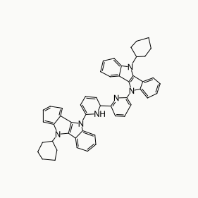 C1=CC(c2cccc(-n3c4ccccc4c4c3c3ccccc3n4C3CCCCC3)n2)NC(n2c3ccccc3c3c2c2ccccc2n3C2CCCCC2)=C1